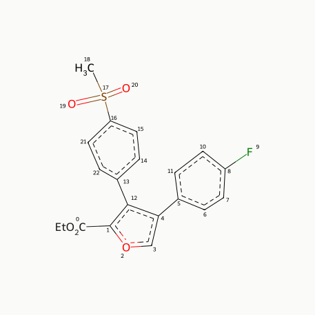 CCOC(=O)c1occ(-c2ccc(F)cc2)c1-c1ccc(S(C)(=O)=O)cc1